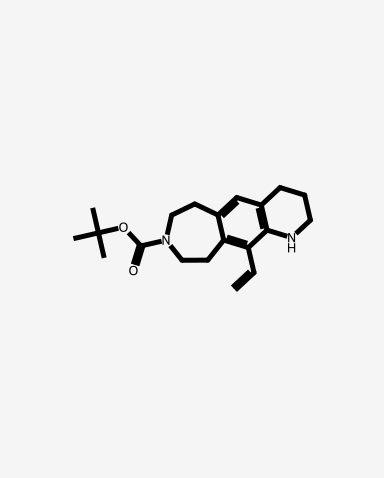 C=Cc1c2c(cc3c1NCCC3)CCN(C(=O)OC(C)(C)C)CC2